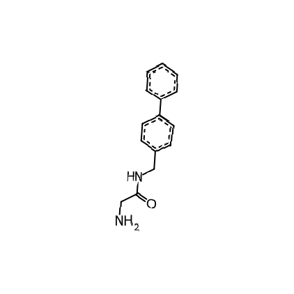 NCC(=O)NCc1ccc(-c2ccccc2)cc1